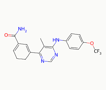 Cc1c(Nc2ccc(OC(F)(F)F)cc2)ncnc1C1=CC(C(N)=O)=CCC1